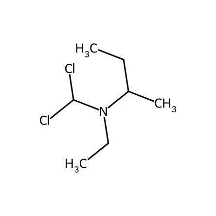 CCC(C)N(CC)C(Cl)Cl